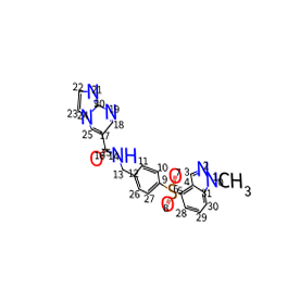 Cn1ncc2c(S(=O)(=O)c3ccc(CNC(=O)c4cnc5nccn5c4)cc3)cccc21